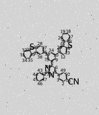 N#Cc1ccc(-c2cc(-c3cc(-c4ccc5sc6ccccc6c5c4)cc(-c4ccc5sc6ccccc6c5c4)c3)nc(-c3ccccc3)n2)cc1